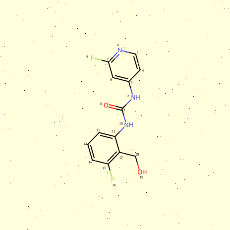 O=C(Nc1ccnc(F)c1)Nc1cccc(F)c1CO